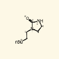 CCCCCCN1CCNC1=O